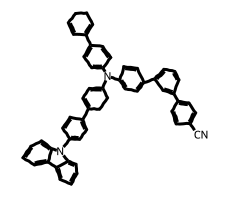 N#Cc1ccc(-c2cccc(-c3ccc(N(C4=CC=C(c5ccc(-n6c7ccccc7c7ccccc76)cc5)CC4)c4ccc(C5=CCCC=C5)cc4)cc3)c2)cc1